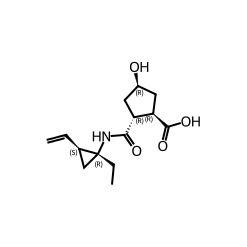 C=C[C@@H]1C[C@@]1(CC)NC(=O)[C@@H]1C[C@@H](O)C[C@H]1C(=O)O